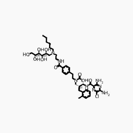 CCCCCCN(CCNC(=O)c1ccc(CCN(C[C@H](CNC(=O)c2nc(Cl)c(N)nc2N)Cc2ccccc2C)C(=O)O)cc1)C[C@H](O)[C@@H](O)[C@H](O)[C@H](O)CO